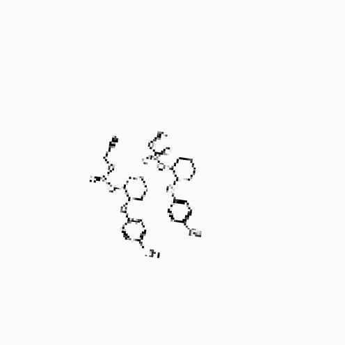 C#CCOS(=O)OC1CCCCC1Oc1ccc(C(C)(C)C)cc1.CC(C)OS(=O)(=O)OC1CCCCC1Oc1ccc(C(C)(C)C)cc1